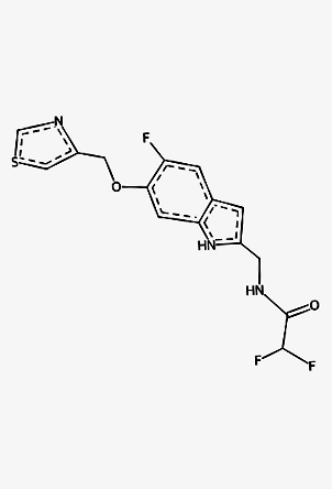 O=C(NCc1cc2cc(F)c(OCc3cscn3)cc2[nH]1)C(F)F